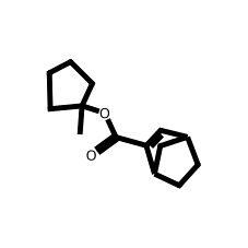 CC1(OC(=O)C2=CC3CCC2C3)CCCC1